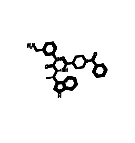 C[C@H](c1c[nH]c2ccccc12)[C@@H](NC(=O)C1CCN(C(=O)c2ccccc2)CC1)C(=O)Nc1cccc(CN)c1